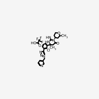 C[C@H]1C[C@@H](N2C(=N)N[C@](C)(c3cccc(-c4cn(Cc5cccnc5)nn4)c3Cl)CC2=O)CCO1.O=C(O)C(F)(F)F